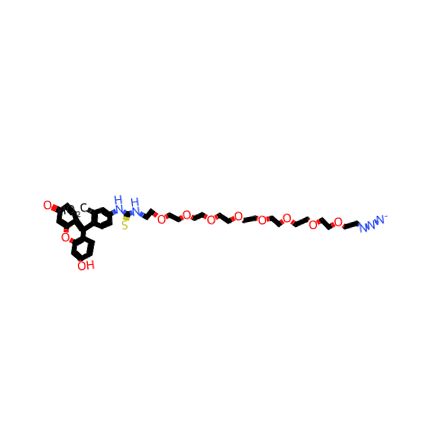 [N-]=[N+]=NCCOCCOCCOCCOCCOCCOCCOCCOCCNC(=S)Nc1ccc(-c2c3ccc(=O)cc-3oc3cc(O)ccc23)c(C(=O)O)c1